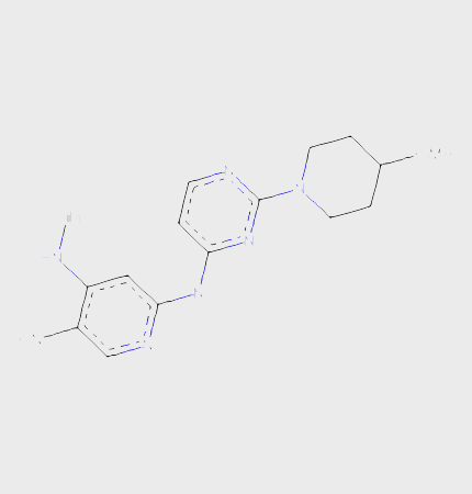 COC1CCN(c2nccc(Nc3cc(NC(C)C)c(N=O)cn3)n2)CC1